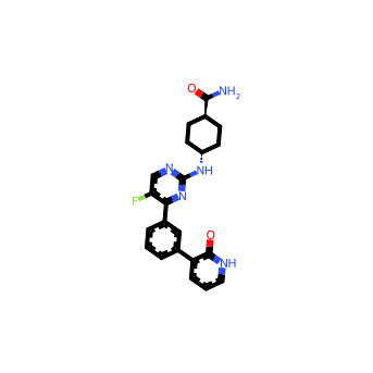 NC(=O)[C@H]1CC[C@H](Nc2ncc(F)c(-c3cccc(-c4ccc[nH]c4=O)c3)n2)CC1